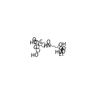 CCOP(=O)(O)OCC(CO)CCCCNC(=O)C1CCC(c2c3ccc(=O)cc-3oc3cc(O)ccc23)C(C(=O)O)C1